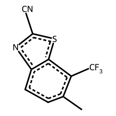 Cc1ccc2nc(C#N)sc2c1C(F)(F)F